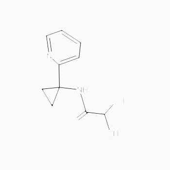 CC(C)C(=O)NC1(c2ccccn2)CC1